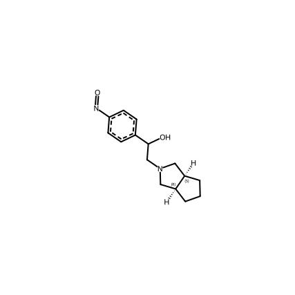 O=Nc1ccc(C(O)CN2C[C@H]3CCC[C@H]3C2)cc1